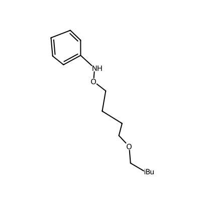 CCC(C)COCCCCONc1ccccc1